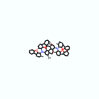 Cc1ccc2c(oc3ccccc32)c1N(c1cc(C(C)C)c2ccc3c(N(c4c(C)ccc5c4oc4ccccc45)c4c(C)ccc5c4oc4c(C)cccc45)cc(C(C)C)c4ccc1c2c43)c1c(C)ccc2c1oc1c(C)cccc12